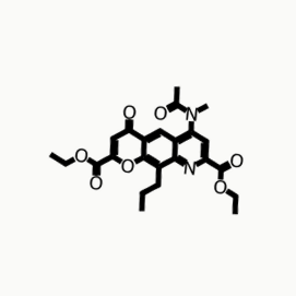 CCCc1c2nc(C(=O)OCC)cc(N(C)C(C)=O)c2cc2c(=O)cc(C(=O)OCC)oc12